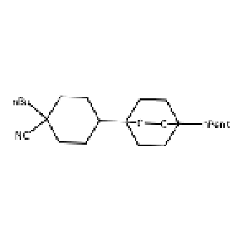 CCCCCC12CCC(C3CCC(C#N)(CCCC)CC3)(CC1)CC2